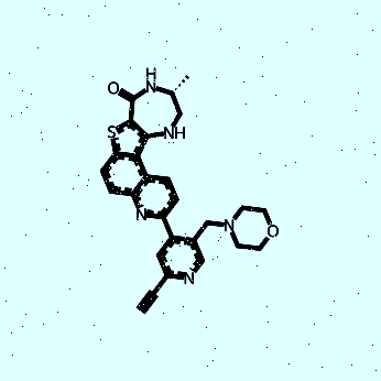 C#Cc1cc(-c2ccc3c(ccc4sc5c(c43)NC[C@@H](C)NC5=O)n2)c(CN2CCOCC2)cn1